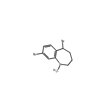 CN1CCCC(Br)c2ccc(Br)cc21